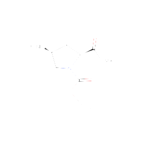 COC(=O)[C@@H]1C[C@H](NC(C)=O)CN1C(=O)OC(C)(C)C